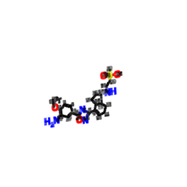 CC(C)Oc1ccc(-c2nc(C3=CCCC4=C3CC[C@@H]4NCCS(C)(=O)=O)no2)cc1N